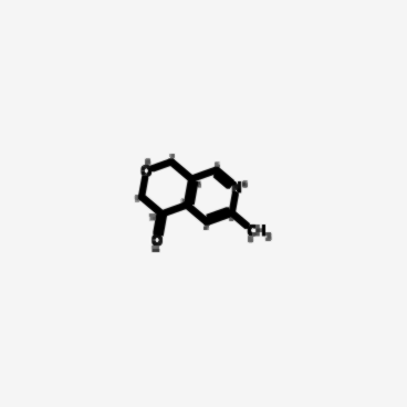 Cc1cc2c(cn1)COCC2=O